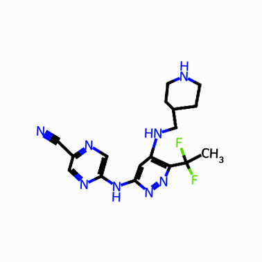 CC(F)(F)c1nnc(Nc2cnc(C#N)cn2)cc1NCC1CCNCC1